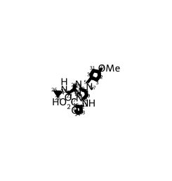 COc1ccc(CN(C)c2cc(Nc3ccoc3C(=O)O)nn3c(C(=O)NC4CC4)cnc23)cc1